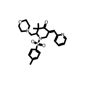 Cc1ccc(S(=O)(=O)N2CC(=Cc3ccccn3)C(=O)C(C)(C)C2CN2CCOCC2)cc1